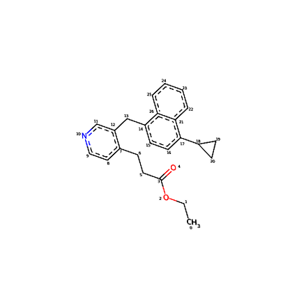 CCOC(=O)CCc1ccncc1Cc1ccc(C2CC2)c2ccccc12